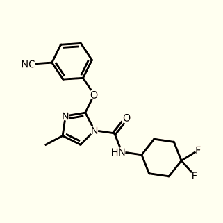 Cc1cn(C(=O)NC2CCC(F)(F)CC2)c(Oc2cccc(C#N)c2)n1